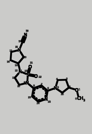 COC1CCN(c2cc(N3CCN(C4CCN(C#N)C4)S3(=O)=O)ccn2)C1